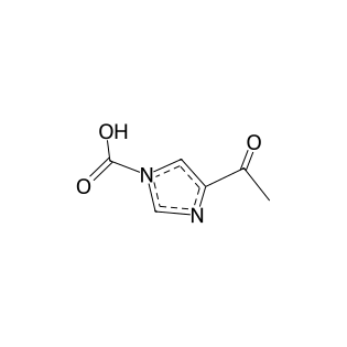 CC(=O)c1cn(C(=O)O)cn1